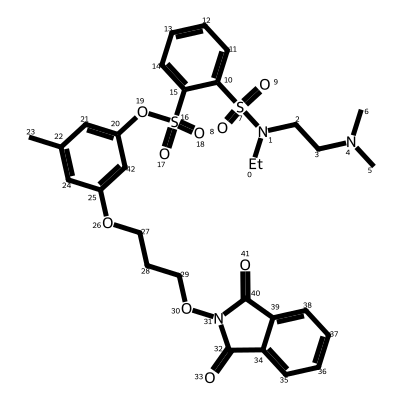 CCN(CCN(C)C)S(=O)(=O)c1ccccc1S(=O)(=O)Oc1cc(C)cc(OCCCON2C(=O)c3ccccc3C2=O)c1